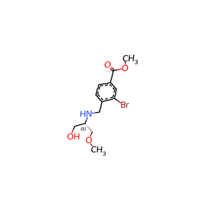 COC[C@H](CO)NCc1ccc(C(=O)OC)cc1Br